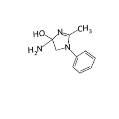 CC1=NC(N)(O)CN1c1ccccc1